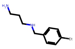 CCc1ccc(CNCCCN)cc1